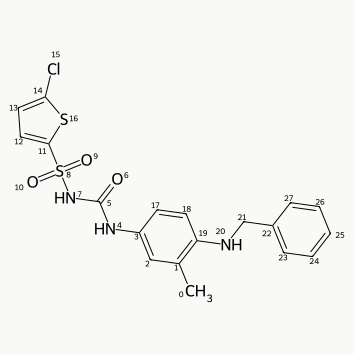 Cc1cc(NC(=O)NS(=O)(=O)c2ccc(Cl)s2)ccc1NCc1ccccc1